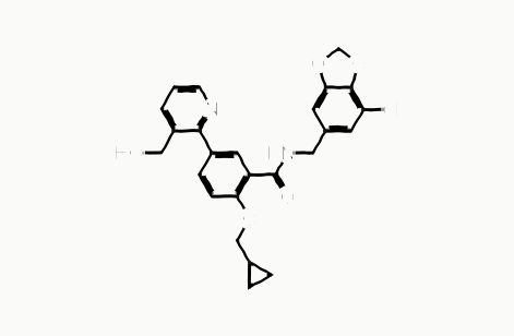 O=C(NCc1cc(Cl)c2c(c1)OCO2)c1cc(-c2ncccc2CO)ccc1OCC1CC1